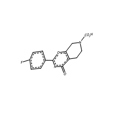 O=C(O)N1CCc2c(oc(-c3ccc(F)cc3)nc2=O)C1